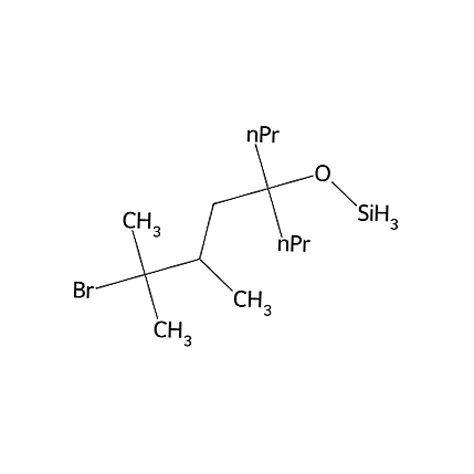 CCCC(CCC)(CC(C)C(C)(C)Br)O[SiH3]